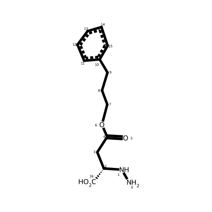 NN[C@@H](CC(=O)OCCCc1ccccc1)C(=O)O